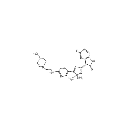 CC1(C)OC(=C2C(=O)Nc3ccc(F)cc32)C=C1c1ccc(NCCN2CCC(O)CC2)nc1